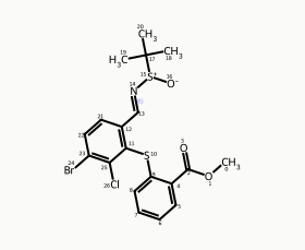 COC(=O)c1ccccc1Sc1c(/C=N/[S+]([O-])C(C)(C)C)ccc(Br)c1Cl